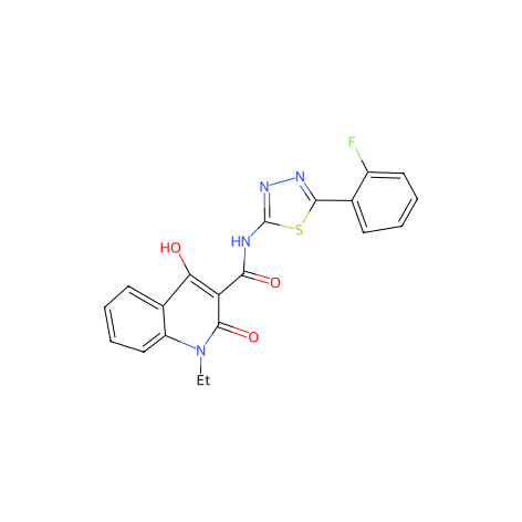 CCn1c(=O)c(C(=O)Nc2nnc(-c3ccccc3F)s2)c(O)c2ccccc21